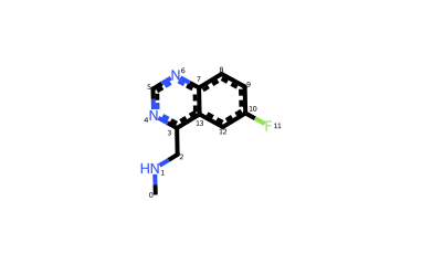 CNCc1ncnc2ccc(F)cc12